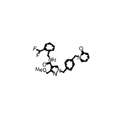 COCc1nn(Cc2ccc(Cn3ccccc3=O)cc2)cc1C(=O)NCc1ccccc1C(F)F